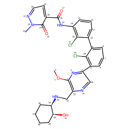 COc1nc(-c2cccc(-c3cccc(NC(=O)c4ccnn(C)c4=O)c3Cl)c2Cl)cnc1CN[C@@H]1CCCC[C@@H]1O